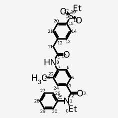 CCN(C(=O)c1ccc(NC(=O)Cc2ccc(S(=O)(=O)CC)cc2)c(C)c1)c1ccccc1